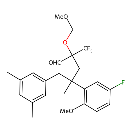 COCOC(C=O)(CC(C)(Cc1cc(C)cc(C)c1)c1cc(F)ccc1OC)C(F)(F)F